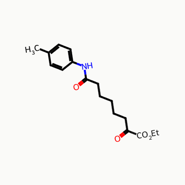 CCOC(=O)C(=O)CCCCCC(=O)Nc1ccc(C)cc1